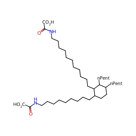 CCCCCC1CCC(CCCCCCCCCNC(=O)C(=O)O)C(CCCCCCCCCCCNC(=O)C(=O)O)C1CCCCC